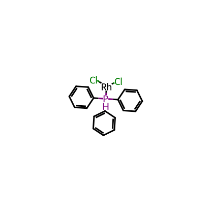 [Cl][Rh]([Cl])[PH](c1ccccc1)(c1ccccc1)c1ccccc1